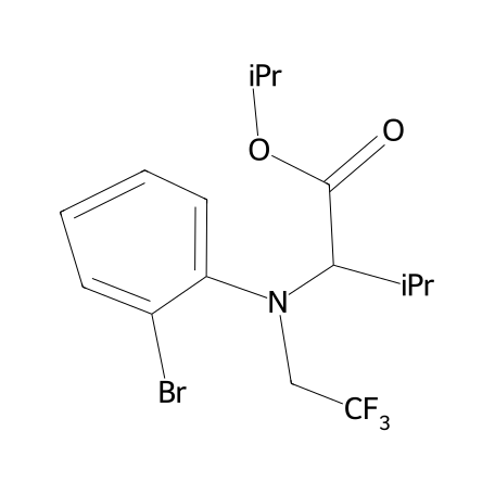 CC(C)OC(=O)C(C(C)C)N(CC(F)(F)F)c1ccccc1Br